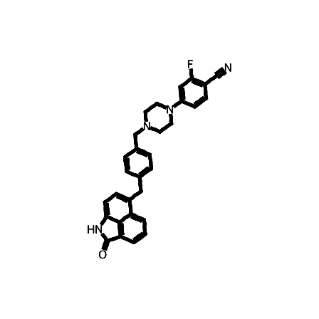 N#Cc1ccc(N2CCN(Cc3ccc(Cc4ccc5c6c(cccc46)C(=O)N5)cc3)CC2)cc1F